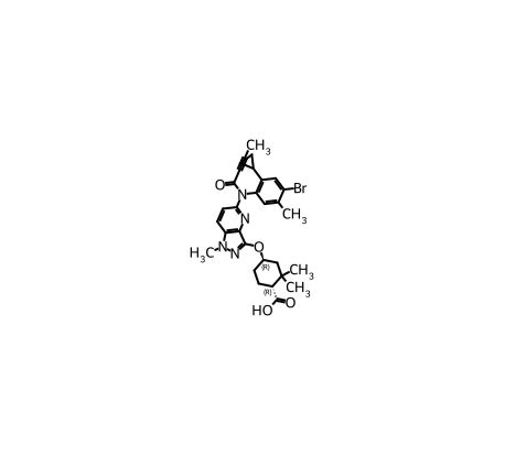 CC#CC(=O)N(c1ccc2c(n1)c(O[C@@H]1CC[C@@H](C(=O)O)C(C)(C)C1)nn2C)c1cc(C)c(Br)cc1C1CC1